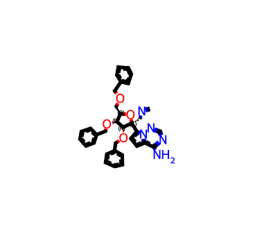 C=NC[C@@]1(c2ccc3c(N)ncnn23)O[C@H](COCc2ccccc2)[C@@H](OCc2ccccc2)[C@H]1OCc1ccccc1